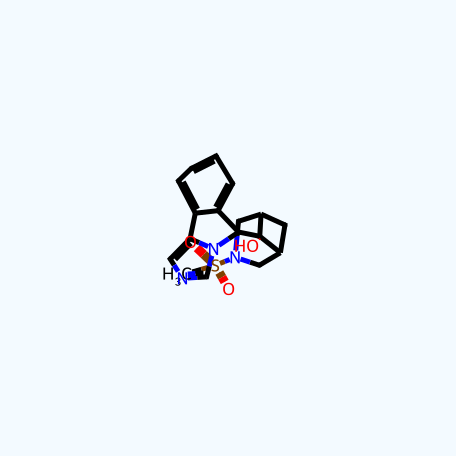 CS(=O)(=O)N1CC2CC(C1)C2(O)C1c2ccccc2-c2cncn21